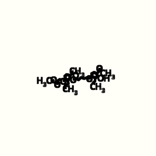 CCCc1c(OCCCCCOc2c(C(C)=O)ccc(OCC(=O)OCC)c2CCC)ccc(C(C)=O)c1O